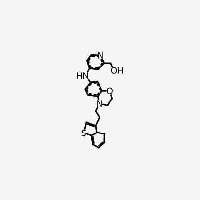 OCc1cc(Nc2ccc3c(c2)OCCN3CCC2=CSC3=CC=CCC23)ccn1